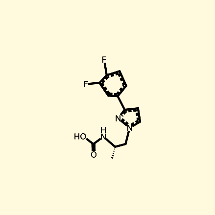 C[C@@H](Cn1ccc(-c2ccc(F)c(F)c2)n1)NC(=O)O